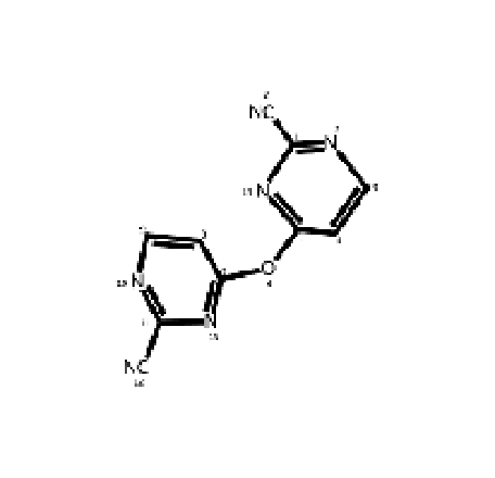 N#Cc1nccc(Oc2ccnc(C#N)n2)n1